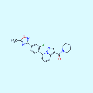 Cc1nc(-c2ccc(-c3cccc4c(C(=O)N5CCCCC5)cnn34)c(F)c2)no1